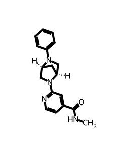 CNC(=O)c1ccnc(N2C[C@@H]3C[C@H]2CN3c2ccccc2)c1